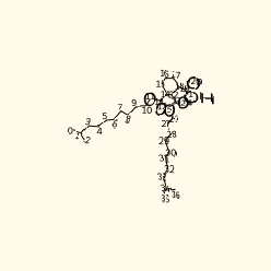 CC(C)CCCCCCCCOC(=O)C1CCCC(C(=O)O)C1C(=O)OCCCCCCCCC(C)C